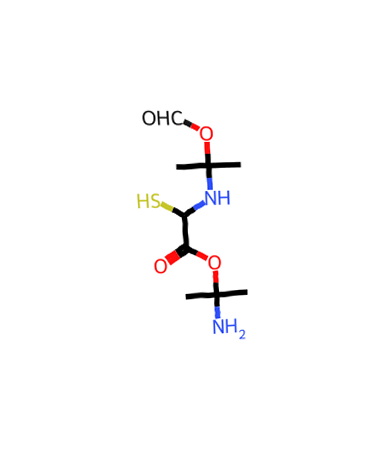 CC(C)(N)OC(=O)C(S)NC(C)(C)OC=O